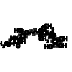 COc1ccc2c(c1)C(=O)NC(c1ccc(OCCCCCOc3c(OC)cc(C4=NOC(c5cc(CO)c(CO)c(CO)c5)C4)cc3OC)c(CO)c1)N2